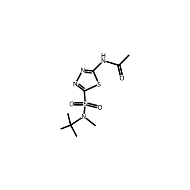 CC(=O)Nc1nnc(S(=O)(=O)N(C)C(C)(C)C)s1